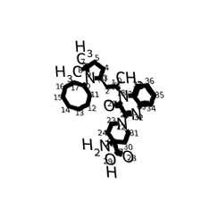 C[C@@H](C[C@@H]1CCC(C)(C)N1C1CCCCCCC1)n1c(=O)c(N2CCC(N)(C(=O)O)CC2)nc2ccccc21